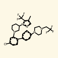 Cc1cnn(C2CCCN(c3cc(Cl)ccc3-c3ccc(N4CCN(CC(F)(F)F)CC4)cc3)C2)c1C(F)(F)F